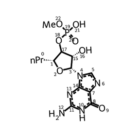 CCC[C@H]1O[C@@H](n2cnc3c(=O)[nH]c(N)nc32)[C@@H](O)C1OP(=O)(O)OC